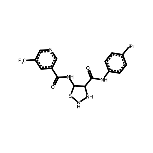 CC(C)c1ccc(NC(=O)C2NNSC2NC(=O)c2cncc(C(F)(F)F)c2)cc1